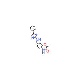 CC1Oc2cc(CNc3ncc(-c4ccccc4)n3C)ccc2NC1=O